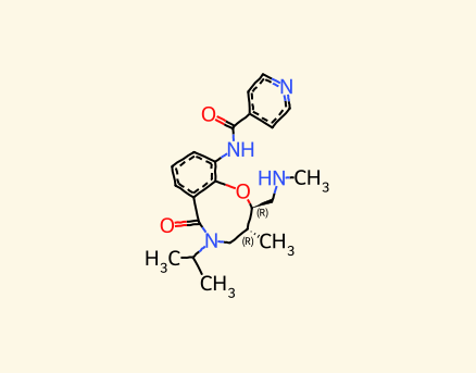 CNC[C@@H]1Oc2c(NC(=O)c3ccncc3)cccc2C(=O)N(C(C)C)C[C@H]1C